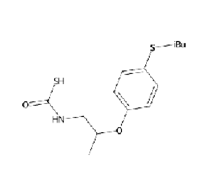 CCC(C)Sc1ccc(OC(C)CNC(=O)S)cc1